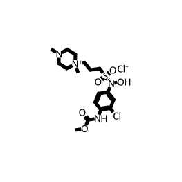 COC(=O)Nc1ccc(N(O)S(=O)(=O)CCC[N+]2(C)CCN(C)CC2)cc1Cl.[Cl-]